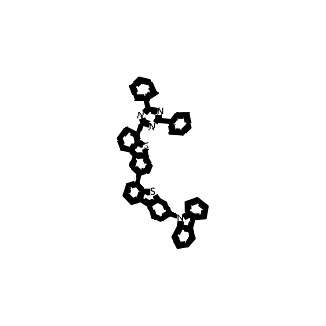 c1ccc(-c2nc(-c3ccccc3)nc(-c3cccc4c3sc3ccc(-c5cccc6c5sc5cc(-n7c8ccccc8c8ccccc87)ccc56)cc34)n2)cc1